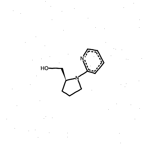 OC[C@@H]1CCCN1c1ccccn1